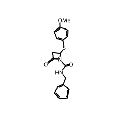 COc1ccc(SC2CC(=O)N2C(=O)NCc2ccccc2)cc1